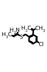 C=C(C)c1cc(Cl)ccc1CS/C(N)=C/C